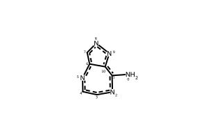 Nc1nccnc2cnnc1-2